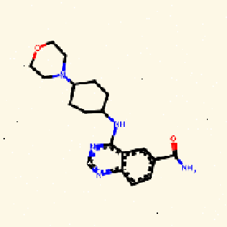 NC(=O)c1ccc2ncnc(NC3CCC(N4CCOCC4)CC3)c2c1